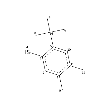 Cc1cc(S)c(C(C)(C)C)cc1C